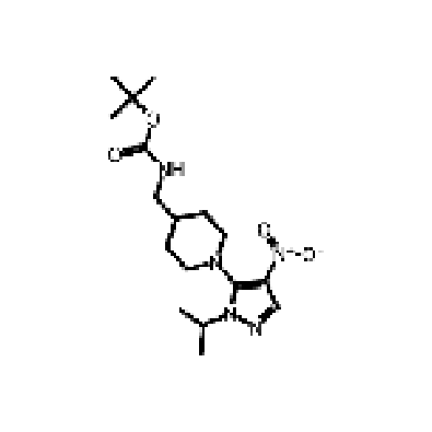 CC(C)n1ncc([N+](=O)[O-])c1N1CCC(CNC(=O)OC(C)(C)C)CC1